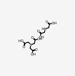 O=C(O)CN(CC(=O)O)CC(=O)O.O=C(O)CNCC(=O)O